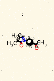 C=C(C)C(=O)N(CC)C1CC2CCC1CC2C(C)=O